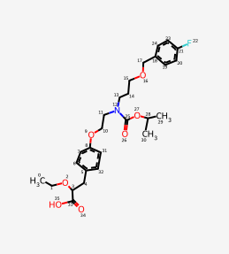 CCOC(Cc1ccc(OCCN(CCCOCc2ccc(F)cc2)C(=O)OC(C)C)cc1)C(=O)O